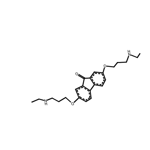 CCNCCCOc1ccc2c(c1)C(=O)c1cc(OCCCNCC)ccc1-2